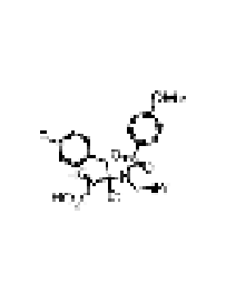 CCC(Cc1ccc(F)cc1)(N(O)C(=O)O)N(CC(C)C)S(=O)(=O)c1ccc(OC)cc1